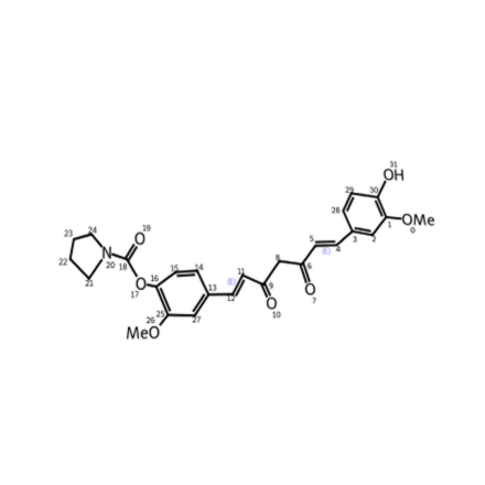 COc1cc(/C=C/C(=O)CC(=O)/C=C/c2ccc(OC(=O)N3CCCC3)c(OC)c2)ccc1O